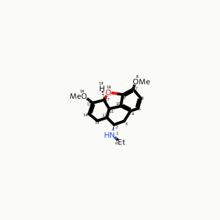 CCN[C@H]1Cc2ccc(OC)c3c2C2C1CC=C(OC)[C@H]2O3